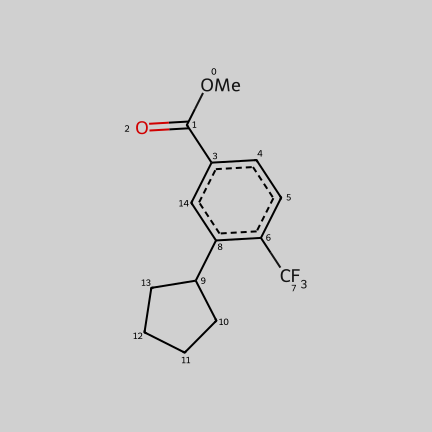 COC(=O)c1ccc(C(F)(F)F)c(C2CCCC2)c1